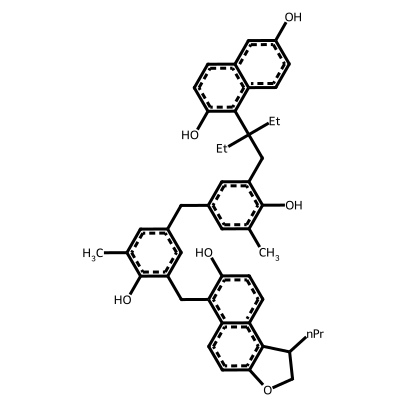 CCCC1COc2ccc3c(Cc4cc(Cc5cc(C)c(O)c(CC(CC)(CC)c6c(O)ccc7cc(O)ccc67)c5)cc(C)c4O)c(O)ccc3c21